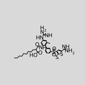 CCCCCCCCCC(C(=O)O)C(=O)Nc1cc(NC(=N)N)cc(C)c1-c1cccc(S(=O)(=O)c2cc(C(=N)N)sc2SC)c1